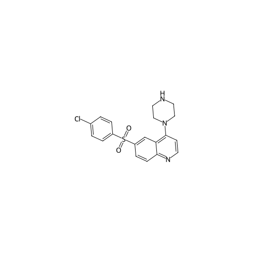 O=S(=O)(c1ccc(Cl)cc1)c1ccc2nccc(N3CCNCC3)c2c1